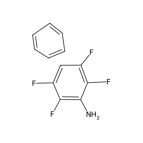 Nc1c(F)c(F)cc(F)c1F.c1ccccc1